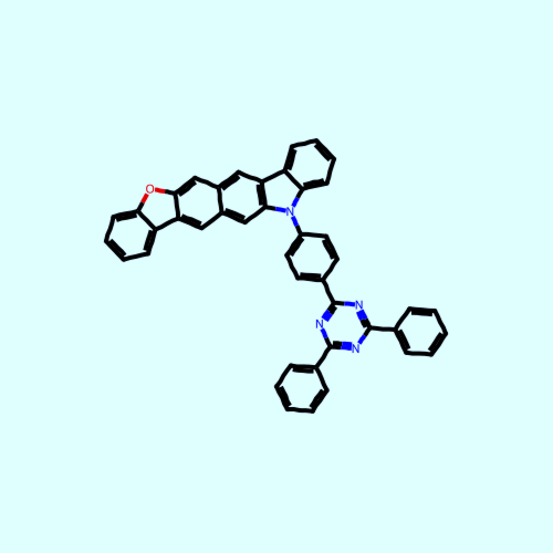 c1ccc(-c2nc(-c3ccccc3)nc(-c3ccc(-n4c5ccccc5c5cc6cc7oc8ccccc8c7cc6cc54)cc3)n2)cc1